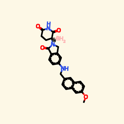 B[C@]1(N2Cc3cc(NCc4ccc5cc(OC)ccc5c4)ccc3C2=O)CCC(=O)NC1=O